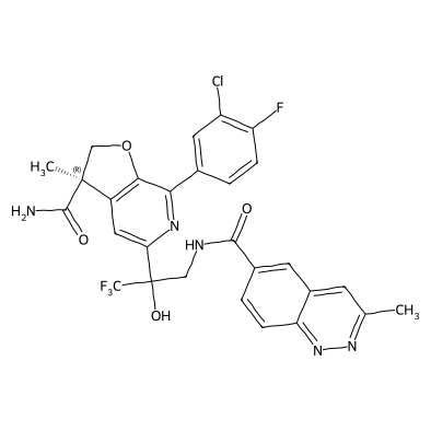 Cc1cc2cc(C(=O)NCC(O)(c3cc4c(c(-c5ccc(F)c(Cl)c5)n3)OC[C@]4(C)C(N)=O)C(F)(F)F)ccc2nn1